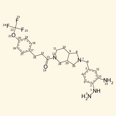 NNc1ccc(CN2CC3CCN(C(=O)CCc4ccc(OC(F)(F)F)cc4)CC3C2)cc1N